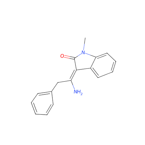 CN1C(=O)C(=C(N)Cc2ccccc2)c2ccccc21